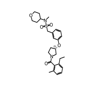 CCc1cccc(C)c1C(=O)N1CC[C@H](Oc2cccc(CS(=O)(=O)N(C)C3CCOCC3)c2)C1